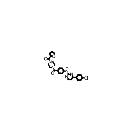 O=C(c1ccc(Nc2nccc(-c3ccc(Cl)cc3)n2)cc1)N1CCN(C(=O)c2ccco2)CC1